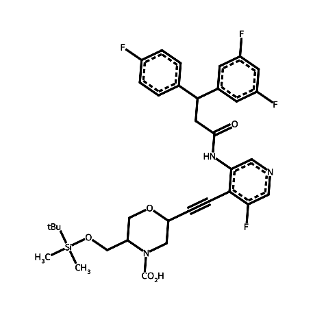 CC(C)(C)[Si](C)(C)OCC1COC(C#Cc2c(F)cncc2NC(=O)CC(c2ccc(F)cc2)c2cc(F)cc(F)c2)CN1C(=O)O